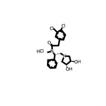 CN(C(=O)Cc1ccc(Cl)c(Cl)c1)[C@H](CN1C[C@@H](O)[C@H](O)C1)c1ccccc1.Cl